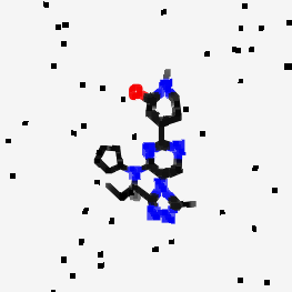 CC[C@@H]1c2nnc(C)n2-c2cnc(-c3ccn(C)c(=O)c3)nc2N1C1CCCC1